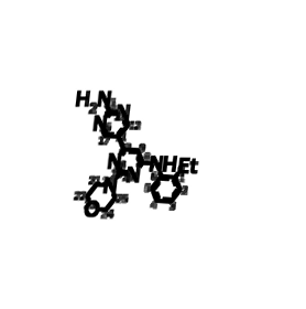 CCc1ccccc1Nc1cc(-c2cnc(N)nc2)nc(N2CCOCC2)n1